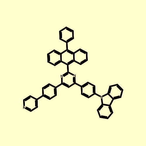 c1ccc(-c2c3ccccc3c(-c3nc(-c4ccc(-c5ccncc5)cc4)cc(-c4ccc(-n5c6ccccc6c6ccccc65)cc4)n3)c3ccccc23)cc1